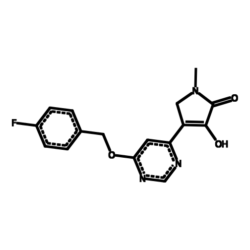 CN1CC(c2cc(OCc3ccc(F)cc3)ncn2)=C(O)C1=O